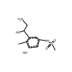 CS(=O)(=O)Nc1ccc(F)c(C(O)CN)c1.Cl